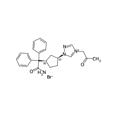 CC(=O)C[n+]1cnn([C@H]2CC[C@@H](C(C(N)=O)(c3ccccc3)c3ccccc3)C2)c1.[Br-]